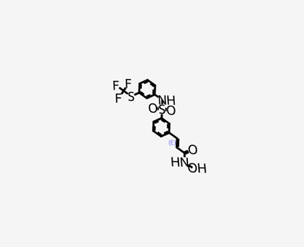 O=C(/C=C/c1cccc(S(=O)(=O)Nc2cccc(SC(F)(F)F)c2)c1)NO